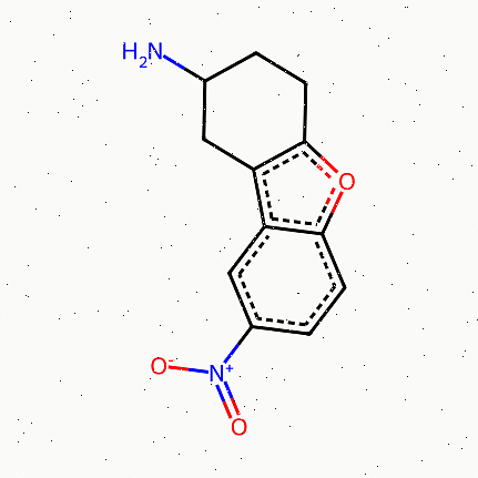 NC1CCc2oc3ccc([N+](=O)[O-])cc3c2C1